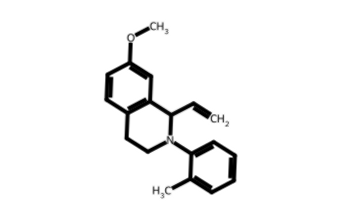 C=CC1c2cc(OC)ccc2CCN1c1ccccc1C